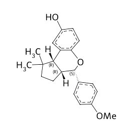 COc1ccc([C@H]2Oc3ccc(O)cc3[C@@H]3[C@H]2CCC3(C)C)cc1